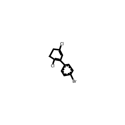 ClC1=CC(c2ccc(Br)cc2)=C(Cl)[CH]C1